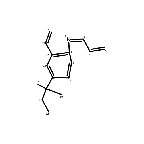 C=C/C=N\c1ccc(C(C)(C)CC)cc1C=C